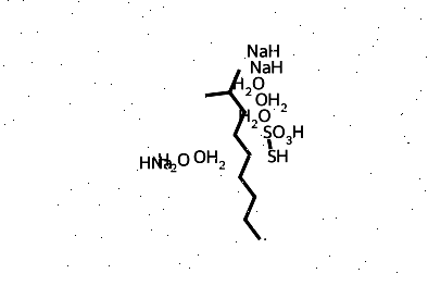 O.O.O.O.O.O=S(=O)(O)S.[CH2]CCCCCCC(C)C.[NaH].[NaH].[NaH]